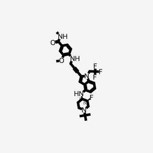 CNC(=O)c1ccc(NCC#Cc2cc3c(N[C@@H]4CCN(C(C)(C)C)C[C@@H]4F)cccc3n2CC(F)(F)F)c(OC)c1